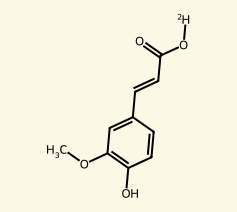 [2H]OC(=O)/C=C/c1ccc(O)c(OC)c1